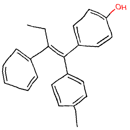 CC/C(=C(/c1ccc(C)cc1)c1ccc(O)cc1)c1ccccc1